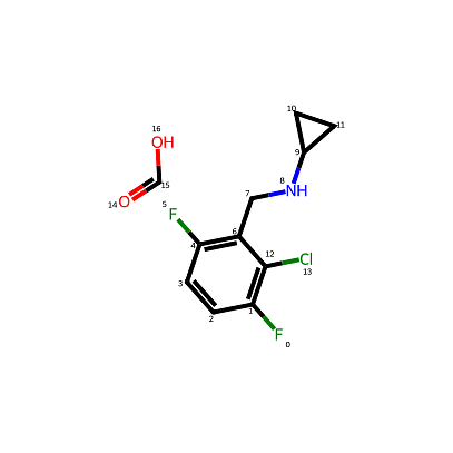 Fc1ccc(F)c(CNC2CC2)c1Cl.O=CO